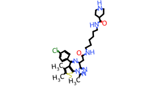 Cc1sc2c(c1C)C(c1ccc(Cl)cc1)=NC(CC(=O)NCCCCCCNC(=O)C1CCNCC1)c1nnc(C)n1-2